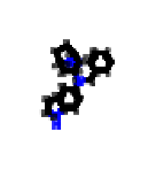 c1ccc(CN(c2ccc3[nH]ccc3c2)C2CC3CCC(C2)N3)cc1